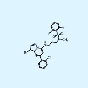 CN(CCCNC1=CC(c2ccccc2Cl)=NC2C(Br)C=NN12)S(=O)(=O)c1c(F)cccc1F